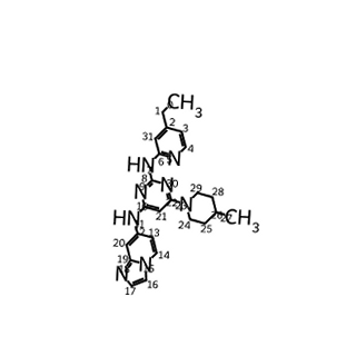 CCc1ccnc(Nc2nc(Nc3ccn4ccnc4c3)cc(N3CCC(C)CC3)n2)c1